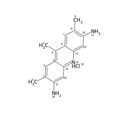 Cc1cc2c(C)c3cc(C)c(N)cc3nc2cc1N.Cl